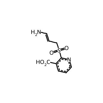 NC=CCS(=O)(=O)c1ncccc1C(=O)O